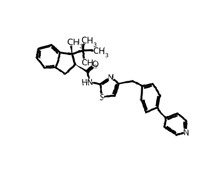 CC(C)(C)[C@@]1(C)c2ccccc2C[C@@H]1C(=O)Nc1nc(Cc2ccc(-c3ccncc3)cc2)cs1